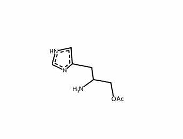 CC(=O)OCC(N)Cc1c[nH]cn1